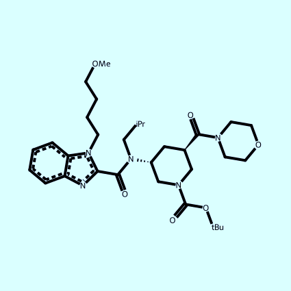 COCCCCn1c(C(=O)N(CC(C)C)[C@@H]2C[C@@H](C(=O)N3CCOCC3)CN(C(=O)OC(C)(C)C)C2)nc2ccccc21